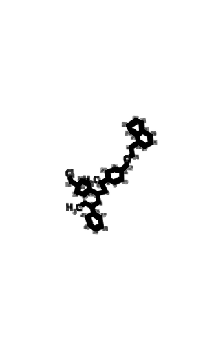 CCC(CC(CC(C)c1ccc(COCCc2cccc3ccccc23)cc1)c1ccc(CCl)cc1)c1ccccc1